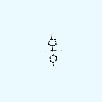 CCC(C)C(C(=O)O)(c1ccc(Br)cc1)c1ccc(Br)cc1